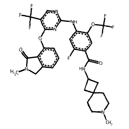 CN1CCC2(CC1)CC(NC(=O)c1cc(OC(F)(F)F)c(Nc3ncc(C(F)(F)F)c(Oc4cccc5c4C(=O)N(C)C5)n3)cc1F)C2